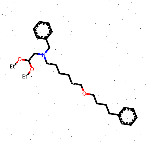 CCOC(CN(CCCCCCOCCCCc1ccccc1)Cc1ccccc1)OCC